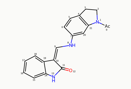 CC(=O)N1CCc2ccc(NC=C3C(=O)Nc4ccccc43)cc21